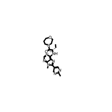 CC[C@H](Nc1ncnc2c1nc(-c1cnc(C)nc1)n2C)C(=O)N1CCCOCC1